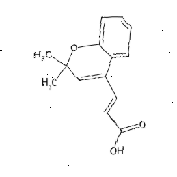 CC1(C)C=C(C=CC(=O)O)c2ccccc2O1